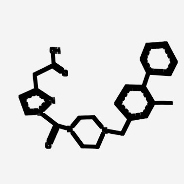 Cc1cc(CN2CCN(C(=O)n3ccc(CC(=O)O)n3)CC2)ccc1-c1ccccc1